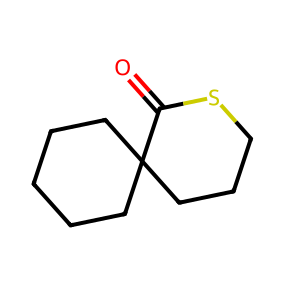 O=C1SCCCC12CCCCC2